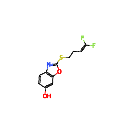 Oc1ccc2nc(SCCC=C(F)F)oc2c1